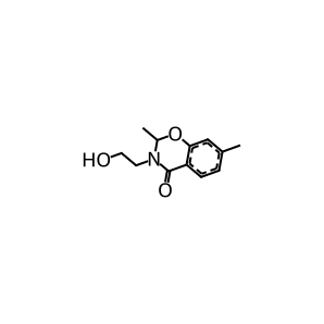 Cc1ccc2c(c1)OC(C)N(CCO)C2=O